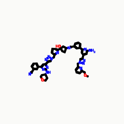 COCc1cccc(Cn2cc(-c3cc(N)nc(-c4cccc(C#[N+]C5CCC(O)(c6cccc(Cn7cc(-c8cc(-c9cccc(C#N)c9)nc(NC9CCOCC9)n8)nn7)n6)C5)c4)c3)nn2)n1